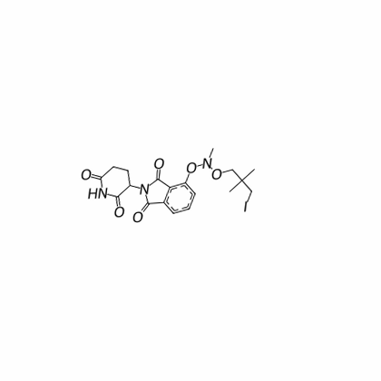 CN(OCC(C)(C)CI)Oc1cccc2c1C(=O)N(C1CCC(=O)NC1=O)C2=O